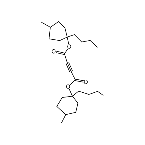 CCCCC1(OC(=O)C#CC(=O)OC2(CCCC)CCC(C)CC2)CCC(C)CC1